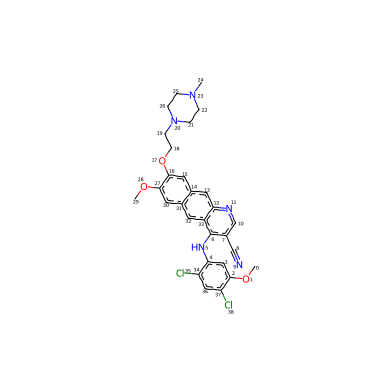 COc1cc(Nc2c(C#N)cnc3cc4cc(OCCN5CCN(C)CC5)c(OC)cc4cc23)c(Cl)cc1Cl